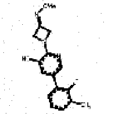 [CH2]c1cccc(-c2cnc(N3CC(=NOC)C3)c(C#N)c2)c1F